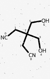 N#CCC(CO)(CO)CC#N